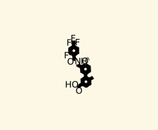 COc1ccc(-c2cc(C(=O)O)ccc2C)cc1CNC(=O)c1ccc(C(F)(F)F)cc1F